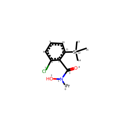 CC(C)N(O)C(=O)c1c(Cl)cccc1[Si](C)(C)C